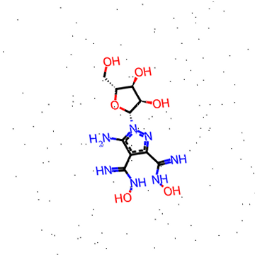 N=C(NO)c1nn([C@@H]2O[C@H](CO)[C@@H](O)[C@H]2O)c(N)c1C(=N)NO